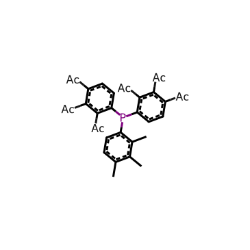 CC(=O)c1ccc(P(c2ccc(C)c(C)c2C)c2ccc(C(C)=O)c(C(C)=O)c2C(C)=O)c(C(C)=O)c1C(C)=O